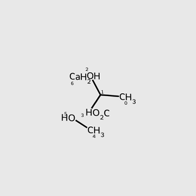 CC(O)C(=O)O.CO.[CaH2]